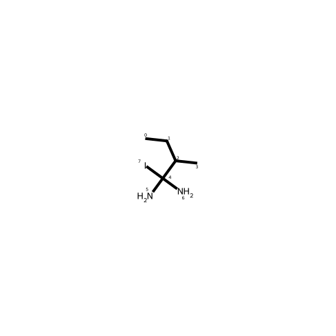 CCC(C)C(N)(N)I